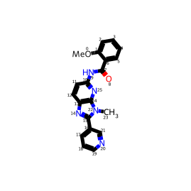 COc1ccccc1C(=O)Nc1ccc2nc(-c3cccnc3)n(C)c2n1